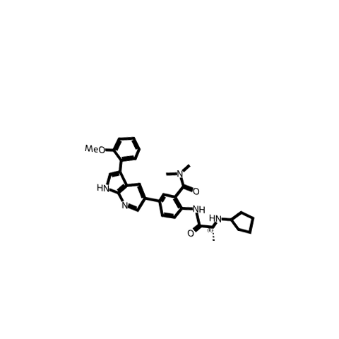 COc1ccccc1-c1c[nH]c2ncc(-c3ccc(NC(=O)[C@@H](C)NC4CCCC4)c(C(=O)N(C)C)c3)cc12